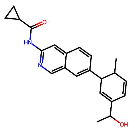 CC(O)C1=CC(c2ccc3cc(NC(=O)C4CC4)ncc3c2)C(C)C=C1